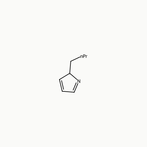 CCCC[C]1C=CC=N1